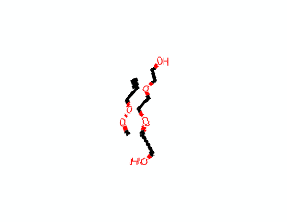 C=CCOOC.OCCOCCOCCO